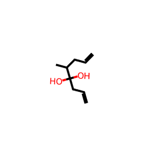 C=CCC(C)C(O)(O)CC=C